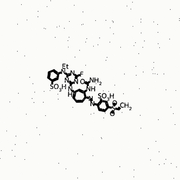 C=CS(=O)(=O)c1ccc(/N=N/C2C=CC=C(Nc3nc(F)nc(N(CC)c4cccc(S(=O)(=O)O)c4)n3)C=C2NC(N)=O)c(S(=O)(=O)O)c1